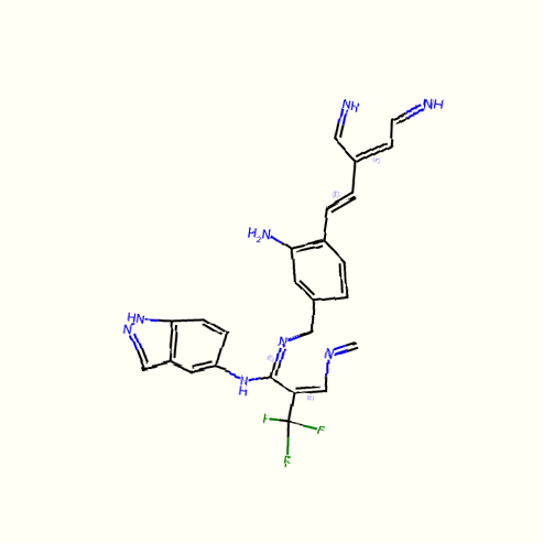 C=N/C=C(\C(=N/Cc1ccc(/C=C/C(C=N)=C/C=N)c(N)c1)Nc1ccc2[nH]ncc2c1)C(F)(F)F